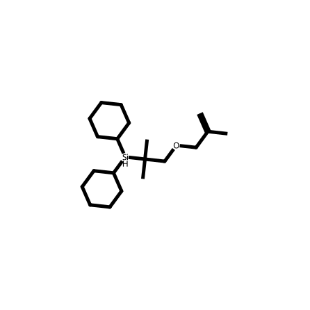 C=C(C)COCC(C)(C)[SiH](C1CCCCC1)C1CCCCC1